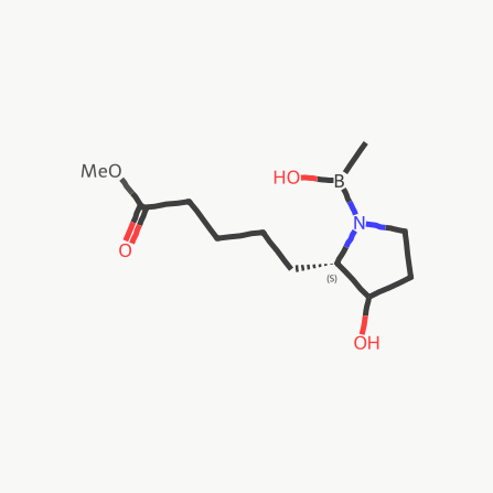 COC(=O)CCCC[C@H]1C(O)CCN1B(C)O